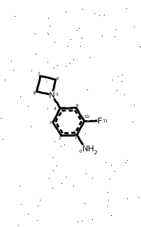 Nc1ccc(N2CCC2)cc1F